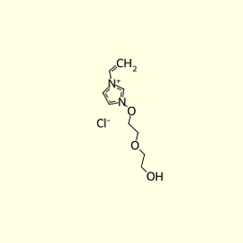 C=C[n+]1ccn(OCCOCCO)c1.[Cl-]